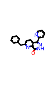 O=c1[nH]nc(-c2ccccn2)c2ccc(Cc3ccccc3)nc12